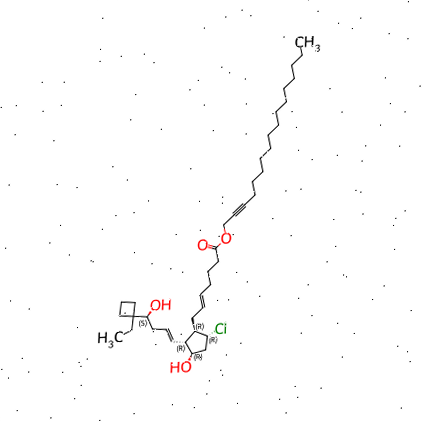 CCCCCCCCCCCCCCC#CCOC(=O)CCCC=CC[C@@H]1[C@@H](C=CC[C@H](O)C2(CC)CCC2)[C@H](O)C[C@H]1Cl